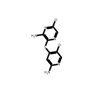 Nc1cc(Sc2ncc(Cl)nc2N)c(Cl)cn1